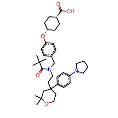 CC1(C)CC(CCN(Cc2ccc(O[C@H]3CC[C@H](C(=O)O)CC3)cc2)C(=O)C(C)(C)C)(c2ccc(N3CCCC3)cc2)CCO1